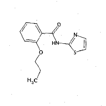 CCCOc1ccccc1C(=O)Nc1nccs1